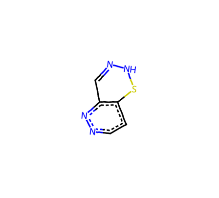 C1=NNSc2ccnnc21